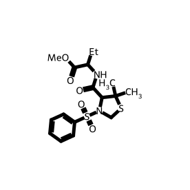 CCC(NC(=O)C1N(S(=O)(=O)c2ccccc2)CSC1(C)C)C(=O)OC